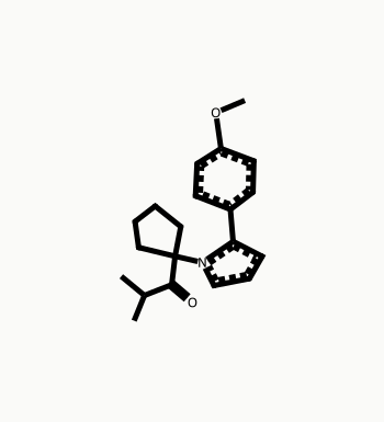 COc1ccc(-c2cccn2C2(C(=O)C(C)C)CCCC2)cc1